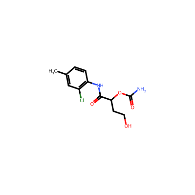 Cc1ccc(NC(=O)C(CCO)OC(N)=O)c(Cl)c1